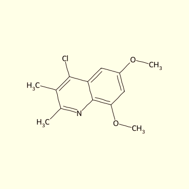 COc1cc(OC)c2nc(C)c(C)c(Cl)c2c1